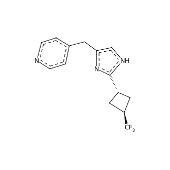 FC(F)(F)[C@H]1C[C@H](c2nc(Cc3ccncc3)c[nH]2)C1